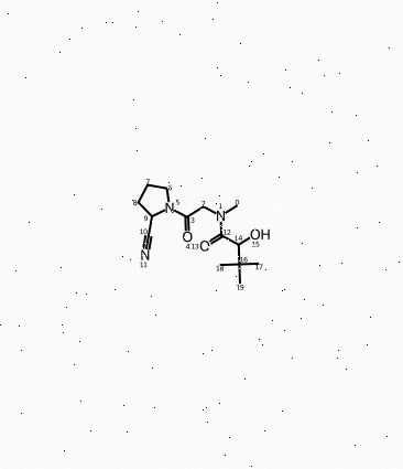 CN(CC(=O)N1CCCC1C#N)C(=O)C(O)C(C)(C)C